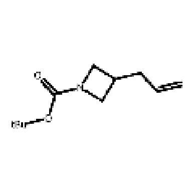 C=CCC1CN(C(=O)OC(C)(C)C)C1